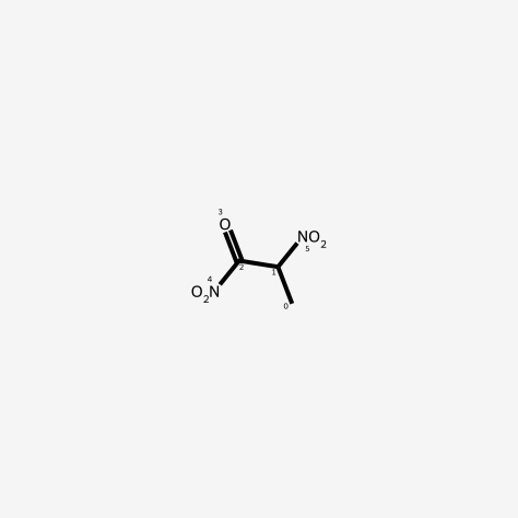 CC(C(=O)[N+](=O)[O-])[N+](=O)[O-]